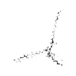 CCCCCCCCCCCCCCCCCC(=O)OCC(COP(=O)(O)OCCCC[N+](C)(C)C)OC(=O)CCCCCCCCCCCCCCCCC